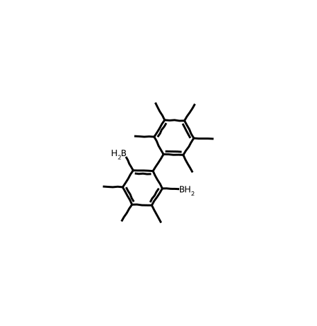 Bc1c(C)c(C)c(C)c(B)c1-c1c(C)c(C)c(C)c(C)c1C